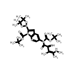 CN/C(C)=C(/C)C(=N)C(=O)N(C(=O)OC(C)(C)C)c1cnc2c(c1)cc(B1OC(C)(C)C(C)(C)O1)n2C(=O)OC(C)(C)C